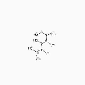 CC(CO)[C@H](O)C(O)C(O)[C@H](C)O